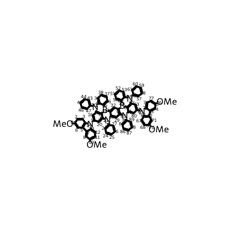 COc1ccc2c(c1)c1cc(OC)ccc1n2-c1cc2c3c(c1)N(c1ccccc1)c1cc4c(cc1B3c1ccccc1N2c1ccccc1)B1c2ccccc2N(c2ccccc2)c2cc(-n3c5ccc(OC)cc5c5cc(OC)ccc53)cc(c21)N4c1ccccc1